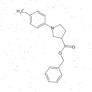 Cc1ccc(N2CCC(C(=O)OCc3ccccc3)C2)cc1